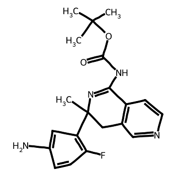 CC(C)(C)OC(=O)NC1=NC(C)(c2cc(N)ccc2F)Cc2cnccc21